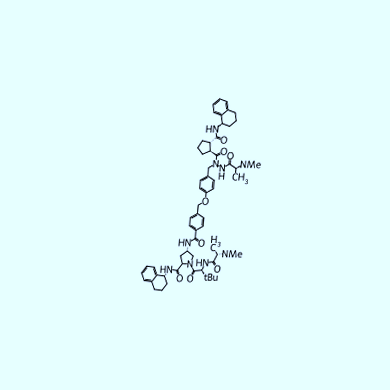 CN[C@@H](C)C(=O)N[C@H](C(=O)N1C[C@@H](NC(=O)c2ccc(COc3ccc(CN(NC(=O)[C@H](C)NC)C(=O)[C@H]4CCC[C@@H]4C(=O)N[C@@H]4CCCc5ccccc54)cc3)cc2)CC1C(=O)N[C@@H]1CCCc2ccccc21)C(C)(C)C